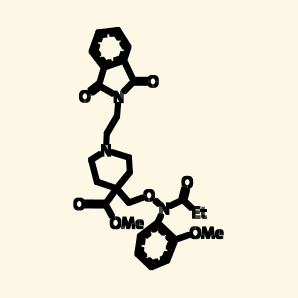 CCC(=O)N(OCC1(C(=O)OC)CCN(CCN2C(=O)c3ccccc3C2=O)CC1)c1ccccc1OC